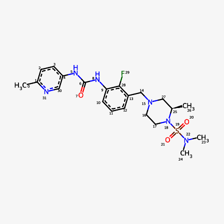 Cc1ccc(NC(=O)Nc2cccc(CN3CCN(S(=O)(=O)N(C)C)[C@H](C)C3)c2F)cn1